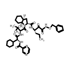 CCC[C@H](NC(=O)[C@@H]1C[C@@H]2CCCC[C@@H]2N1C(=O)[C@@H](NC(=O)[C@@H](NC(=O)c1cnccn1)C1CCCCC1)C(C)(C)C)C(=O)C(=O)NOCc1ccccc1